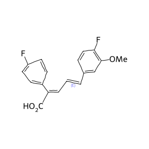 COc1cc(/C=C/C=C(C(=O)O)c2ccc(F)cc2)ccc1F